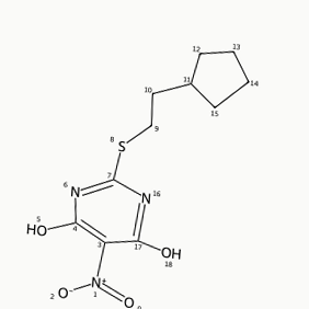 O=[N+]([O-])c1c(O)nc(SCCC2CCCC2)nc1O